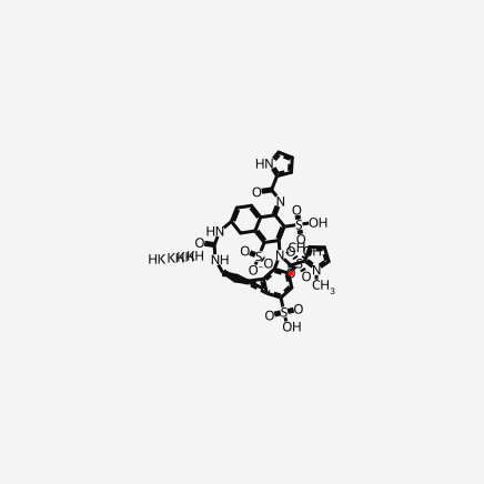 Cn1cccc1C(=O)[N+]1(C)C2=C(S(=O)(=O)O)C(=NC(=O)c3ccc[nH]3)C3=CC=C(CC3=C2S(=O)(=O)[O-])NC(=O)Nc2ccc3c1c(S(=O)(=O)O)cc(S(=O)(=O)O)c3c2.[KH].[KH].[KH].[KH]